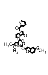 COc1ccc2oc(OC(=O)NC(CC(C)C)C(=O)N3CCC4C3C(=O)CN4C(=O)c3ccccn3)cc2c1